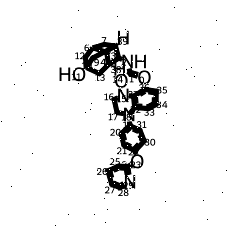 O=C(NC1[C@@H]2CC3C[C@H]1CC(O)(C3)C2)ON1CCN(c2ccc(Oc3ccccn3)cc2)c2ccccc21